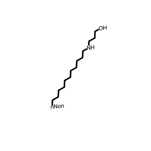 CCCCCCCCCCCCCCCCCCCCNCCCO